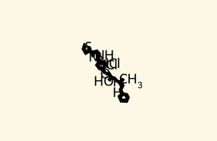 CC(CCc1ccccc1)NCC(O)COc1ccc(-c2nc(-c3cccs3)c[nH]2)cc1.Cl.Cl